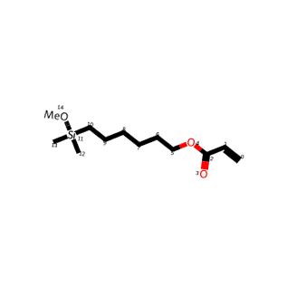 C=CC(=O)OCCCCCC[Si](C)(C)OC